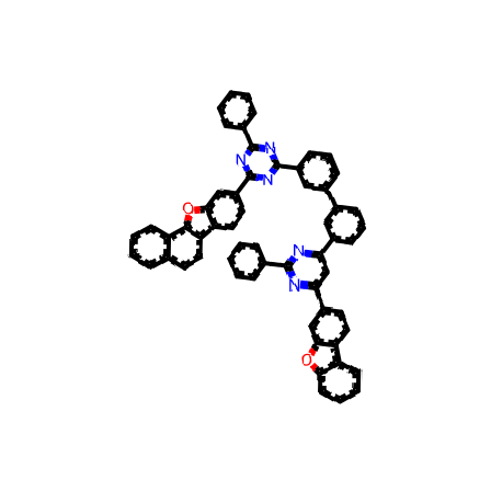 c1ccc(-c2nc(-c3cccc(-c4cccc(-c5nc(-c6ccccc6)nc(-c6ccc7c(c6)oc6c8ccccc8ccc76)n5)c4)c3)cc(-c3ccc4c(c3)oc3ccccc34)n2)cc1